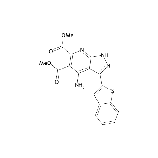 COC(=O)c1nc2[nH]nc(-c3cc4ccccc4s3)c2c(N)c1C(=O)OC